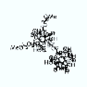 COCCOCCO[C@@H]1[C@@H](OP(=O)(O)O)[C@H](OCCOCCOC)[C@@H](O[PH](=O)O)[C@@H](OCCOCCO[C@H]2[C@@H](OP(=O)(O)O)[C@H](O[PH](=O)O)[C@@H](O[PH](=O)O)[C@H](O[PH](=O)O)[C@H]2OP(=O)(O)O)[C@H]1OP(=O)(O)O